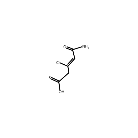 NC(=O)C=C(Cl)CC(O)=S